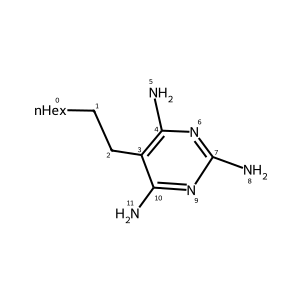 CCCCCCCCc1c(N)nc(N)nc1N